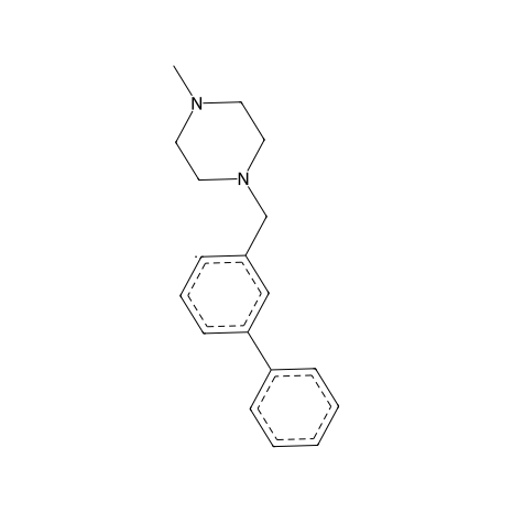 CN1CCN(Cc2[c]ccc(-c3ccccc3)c2)CC1